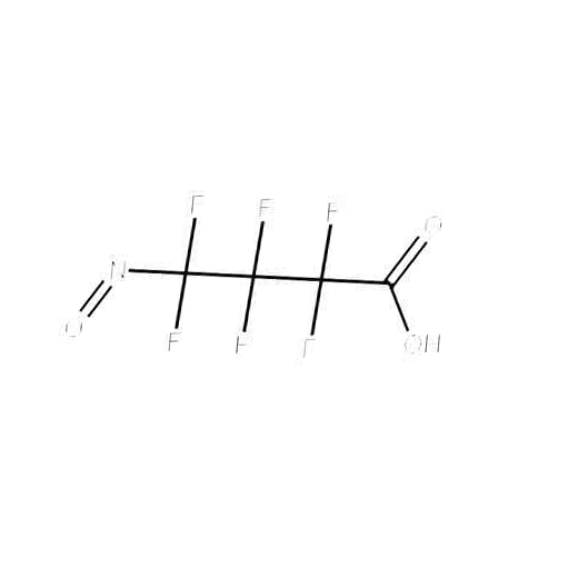 O=NC(F)(F)C(F)(F)C(F)(F)C(=O)O